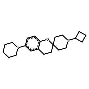 c1cc2c(cc1N1CCCCC1)CCC1(CCN(C3CCC3)CC1)O2